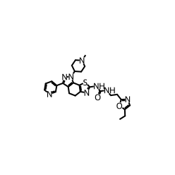 CCc1cnc(CCNC(=O)Nc2nc3c(s2)-c2c(c(-c4cccnc4)nn2C2CCN(C)CC2)CC3)o1